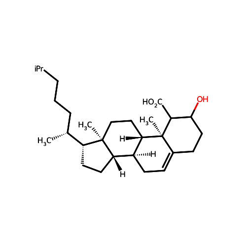 CC(C)CCC[C@@H](C)[C@H]1CC[C@H]2[C@@H]3CC=C4CCC(O)C(C(=O)O)[C@]4(C)[C@H]3CC[C@]12C